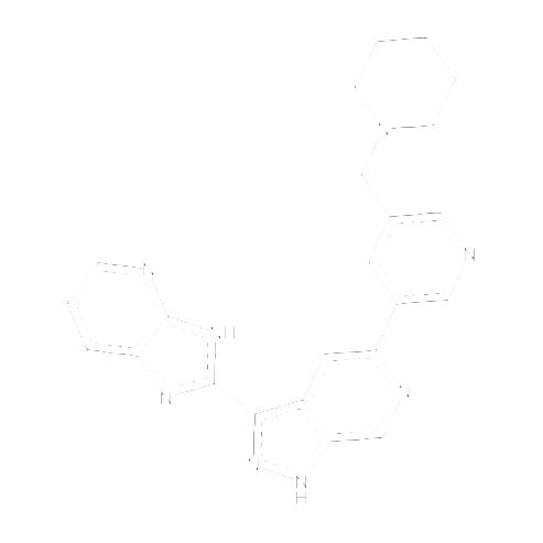 c1cnc2[nH]c(-c3n[nH]c4cnc(-c5cncc(CN6CCCCC6)c5)cc34)nc2c1